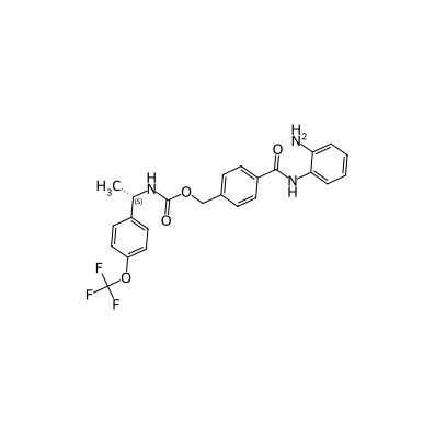 C[C@H](NC(=O)OCc1ccc(C(=O)Nc2ccccc2N)cc1)c1ccc(OC(F)(F)F)cc1